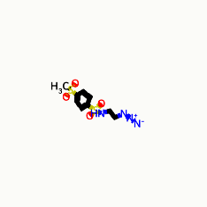 CS(=O)(=O)c1ccc(S(=O)(=O)NCCN=[N+]=[N-])cc1